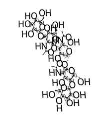 CC(=O)N[C@H]1[C@H](OC[C@H]2OC(O)[C@H](NC(C)=O)[C@@H](O[C@@H]3O[C@H](CO)[C@@H](O)[C@H](O[C@@H]4O[C@H](CO)[C@H](O)[C@H](O)[C@H]4O)[C@H]3NC(C)=O)[C@H]2O)O[C@H](CO)[C@@H](O[C@@H]2O[C@H](CO)[C@H](O)[C@H](O)[C@H]2O)[C@@H]1O